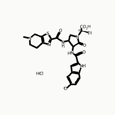 CC[C@H](C(=O)O)N1CC(NC(=O)c2nc3c(s2)CN(C)CC3)C(NC(=O)c2cc3cc(Cl)ccc3[nH]2)C1=O.Cl